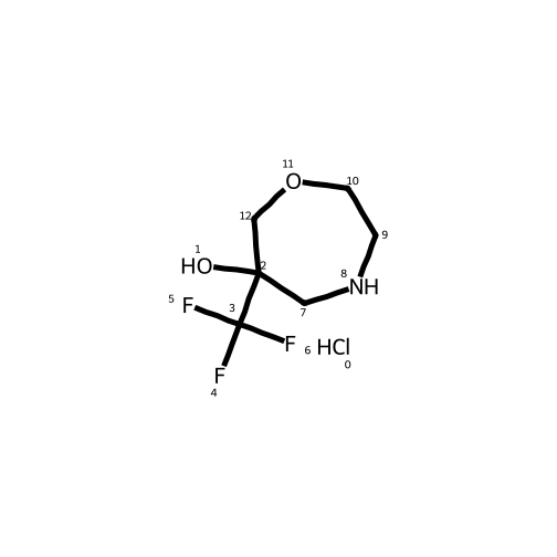 Cl.OC1(C(F)(F)F)CNCCOC1